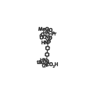 COC(=O)NC(C(=O)N1CC2(CC1c1ncc(-c3ccc(-c4ccc(-c5cnc(C6(C(C)(C)C)CCCN6C(=O)O)[nH]5)cc4)cc3)[nH]1)OCCO2)C(C)C